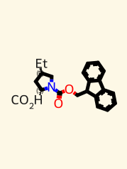 CC[C@@H]1C[C@@H](C(=O)O)N(C(=O)OCC2c3ccccc3-c3ccccc32)C1